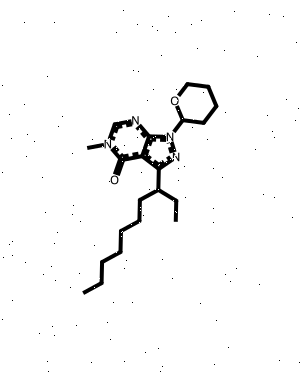 CCCCCCCC(CC)c1nn(C2CCCCO2)c2ncn(C)c(=O)c12